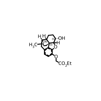 CCOC(=O)COc1ccc2c3c1O[C@H]1[C@@H](O)CC[C@H]4[C@@H](C2)N(C)CC[C@@]341